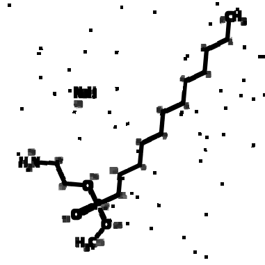 CCCCCCCCCCCCP(=O)(OC)OCCN.[NaH]